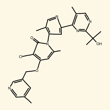 Cc1cncc(COc2cc(C)n(-c3cc(-c4nc(C(C)(C)O)ncc4C)ncc3C)c(=O)c2Cl)c1